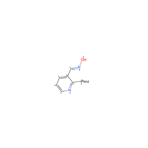 CCCC(C)c1ncccc1/C=N/O